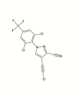 N#Cc1nn(-c2c(Cl)cc(C(F)(F)F)cc2Cl)cc1C#CCl